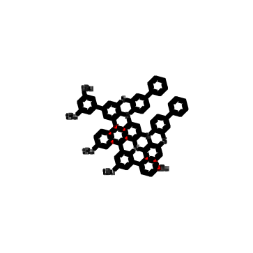 CC(C)(C)c1ccc(N2c3cc4c(cc3B3c5ccc(-c6ccccc6)cc5Sc5cc(-c6cc(C(C)(C)C)cc(C(C)(C)C)c6)cc2c53)B2c3ccc(-c5ccccc5)cc3Sc3cc(C(C)(C)C)cc(c32)N4c2c(-c3ccccc3)cc(C(C)(C)C)cc2-c2ccccc2)cc1